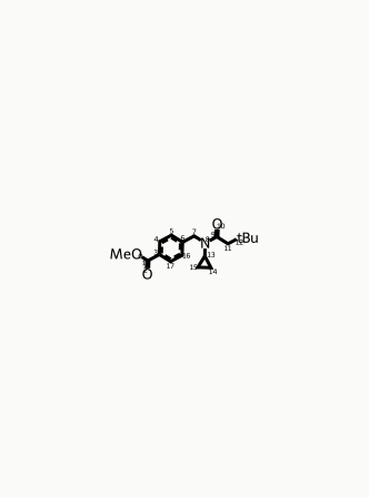 COC(=O)c1ccc(CN(C(=O)CC(C)(C)C)C2CC2)cc1